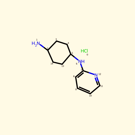 Cl.NC1CCC(Nc2ccccn2)CC1